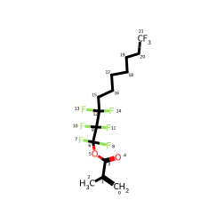 C=C(C)C(=O)OC(F)(F)C(F)(F)C(F)(F)CCCCCCC(F)(F)F